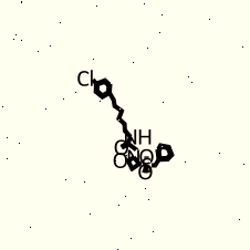 O=C(CN1C(=O)CC1S(=O)(=O)Cc1ccccc1)NCCCCCCc1ccc(Cl)cc1